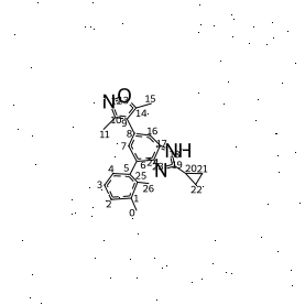 Cc1cccc(-c2cc(-c3c(C)noc3C)cc3[nH]c(C4CC4)nc23)c1C